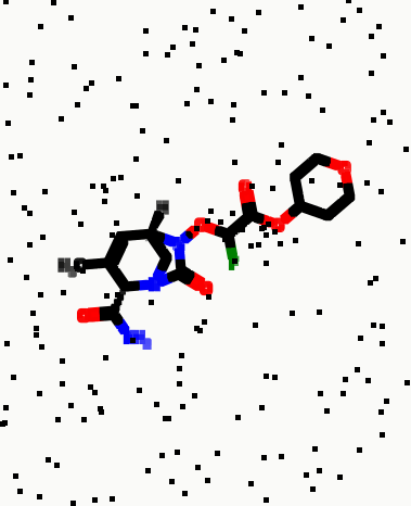 CC1=C[C@H]2CN(C(=O)N2OC(F)C(=O)OC2CCOCC2)[C@@H]1C(N)=O